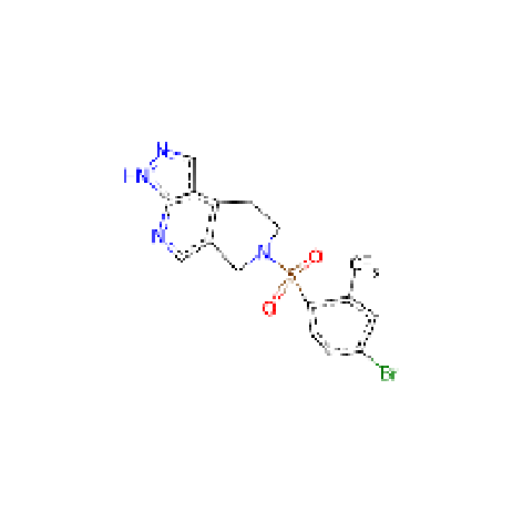 O=S(=O)(c1ccc(Br)cc1C(F)(F)F)N1CCc2c(cnc3[nH]ncc23)C1